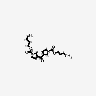 CCCCOC(=O)N1CCC(C(=O)C2CCN(C(=O)OCCCC)C2)C1